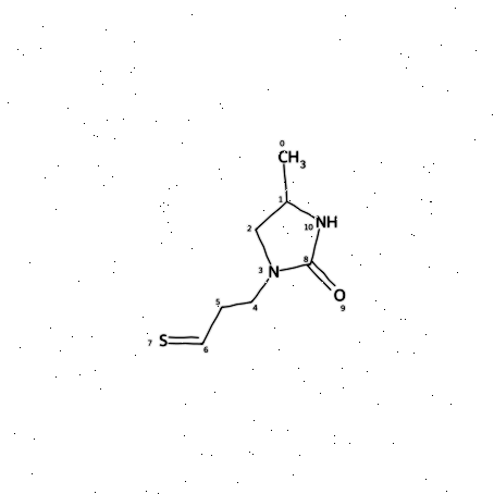 CC1CN(CCC=S)C(=O)N1